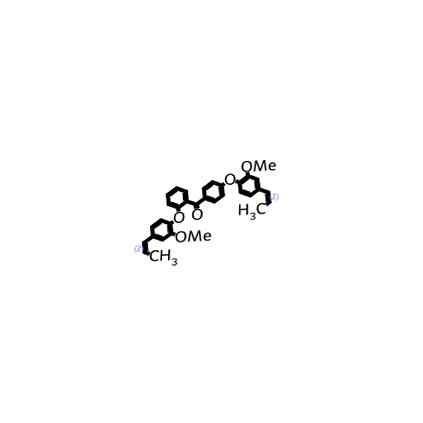 C/C=C\c1ccc(Oc2ccc(C(=O)c3ccccc3Oc3ccc(/C=C\C)cc3OC)cc2)c(OC)c1